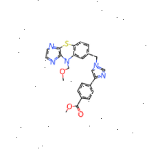 COCN1c2cc(Cn3cnc(-c4ccc(C(=O)OC)cc4)c3)ccc2Sc2nccnc21